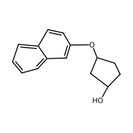 OC1CCC(Oc2[c]cc3ccccc3c2)C1